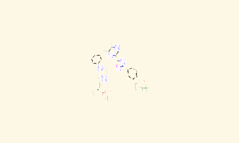 Cc1ncc(-c2nc(-c3ccc(OC(F)(F)F)cc3)no2)nc1Cc1cccc(N2CCN(C)CC2)c1.O=C(O)C(F)(F)F